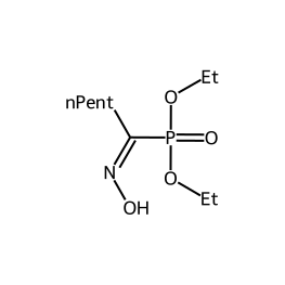 CCCCCC(=NO)P(=O)(OCC)OCC